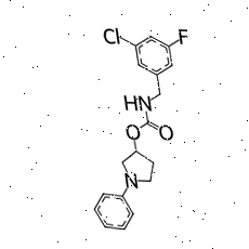 O=C(NCc1cc(F)cc(Cl)c1)OC1CCN(c2ccccc2)C1